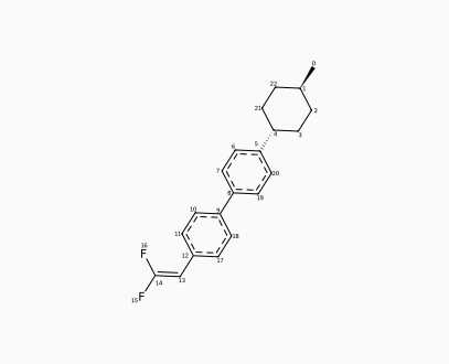 C[C@H]1CC[C@H](c2ccc(-c3ccc(C=C(F)F)cc3)cc2)CC1